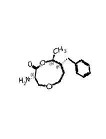 C[C@@H]1OC(=O)[C@@H](N)COCC[C@H]1Cc1ccccc1